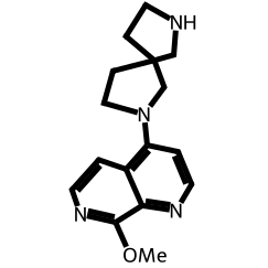 COc1nccc2c(N3CCC4(CCNC4)C3)ccnc12